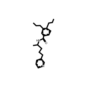 CCCc1ccc(C(=O)NC(C)CCCc2cccnc2)cc1CCC